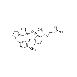 Cc1ccc(C[C@@H]2CCCN2C[C@@H](O)CO[C@H](C)c2cc(F)ccc2CCCCC(=O)O)cc1F